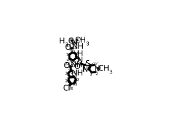 CN1CCc2nc(C(=O)N[C@@H]3C[C@@H](C(=O)NN(C)C)CC[C@@H]3NC(=O)C3Cc4cc(Cl)ccc4N3)sc2C1